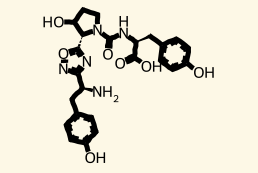 N[C@@H](Cc1ccc(O)cc1)c1noc([C@@H]2C(O)CCN2C(=O)N[C@@H](Cc2ccc(O)cc2)C(=O)O)n1